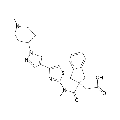 CN1CCC(n2cc(-c3csc(N(C)C(=O)C4(CC(=O)O)Cc5ccccc5C4)n3)cn2)CC1